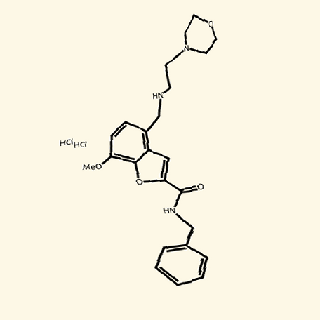 COc1ccc(CNCCN2CCOCC2)c2cc(C(=O)NCc3ccccc3)oc12.Cl.Cl